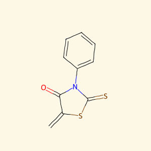 C=C1SC(=S)N(c2ccccc2)C1=O